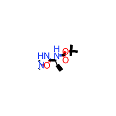 C#C[C@H](NC(=O)OC(C)(C)C)C(=N)ON(C)C